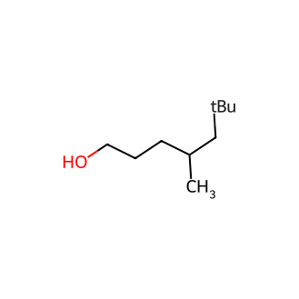 CC(CCCO)CC(C)(C)C